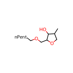 CCCCCCOCC1OCC(C)C1O